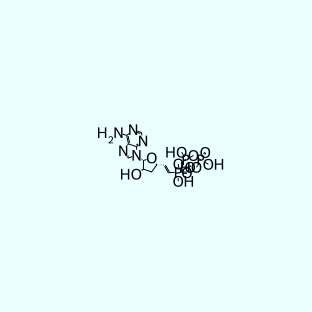 Nc1ncnc2c1ncn2[C@@H]1O[C@H](/C=C/P(=O)(O)OP(=O)(O)OP(=O)(O)O)C[C@H]1O